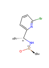 CCC[C@@H](N[S@+]([O-])C(C)(C)C)c1cccc(Br)n1